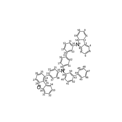 C1=CC2c3ccccc3N(c3cccc(-c4ccc(N(c5ccc(-c6cccc7oc8ccccc8c67)cc5)c5cccc(-c6ccccc6)c5)cc4)c3)C2C=C1